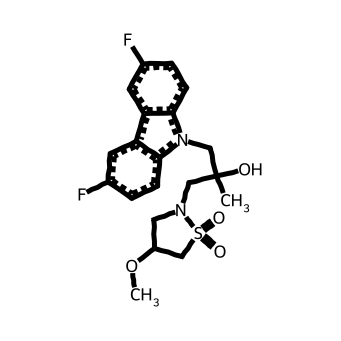 COC1CN(CC(C)(O)Cn2c3ccc(F)cc3c3cc(F)ccc32)S(=O)(=O)C1